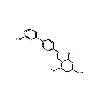 CNC1CC(C)N(CCc2ccc(-c3cccc(N)n3)cc2)C(C)C1